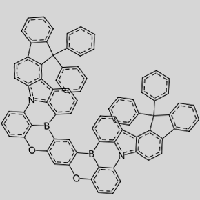 c1ccc(C2(c3ccccc3)c3ccccc3-c3ccc4c(c32)c2cccc3c2n4-c2cccc4c2B3c2cc3c(cc2O4)Oc2cccc4c2B3c2cccc3c5c6c(ccc5n-4c23)-c2ccccc2C6(c2ccccc2)c2ccccc2)cc1